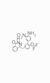 Nc1ccc(-c2cc(Cc3n[nH]c(=O)c4ccccc34)ccc2OC(F)F)cc1[N+](=O)[O-]